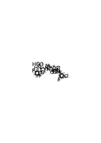 O=C(O)N[C@H]1C[C@@H](n2ncc(N3CC[C@](O)(C(=O)NCc4cc(F)cc(Cl)c4)C3=O)n2)CO[C@@H]1c1cc(F)ccc1F